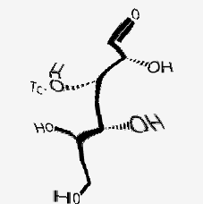 O=C[C@H](O)[C@@H](O)[C@H](O)[C@H](O)CO.[Tc]